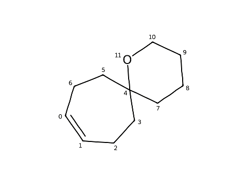 C1=CCCC2(CC1)CCCCO2